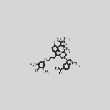 Cc1cc(OCCCc2c3n(c4c(-c5c(C)nn(C)c5C)c(Cl)ccc24)[C@H](C)CN(c2cn(C)c4ccc(C(=O)O)cc24)C3)cc(C)c1Cl